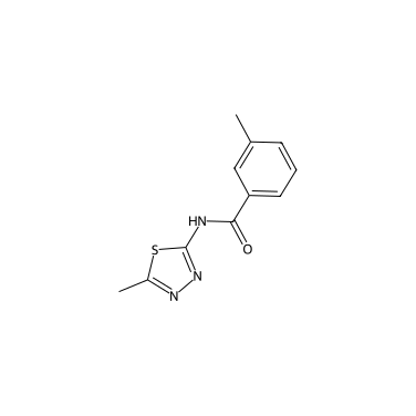 Cc1cccc(C(=O)Nc2nnc(C)s2)c1